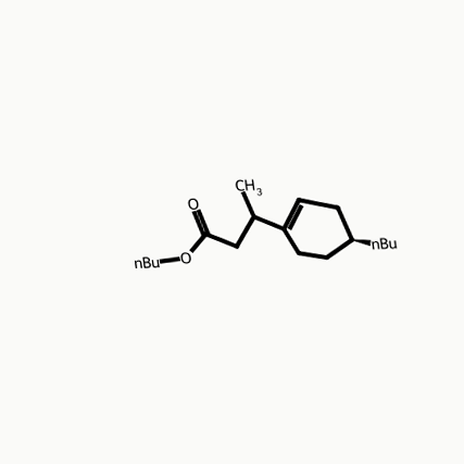 CCCCOC(=O)CC(C)C1=CC[C@@H](CCCC)CC1